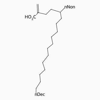 C=C(CCC(CCCCCCCCC)CCCCCCCCCCCCCCCCCCCCCC)C(=O)O